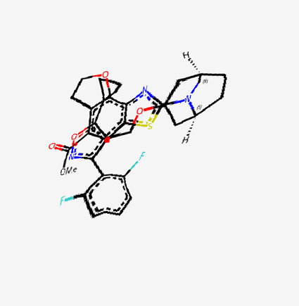 COC(=O)c1cc2sc(N3[C@@H]4CC[C@H]3CC(OCc3c(-c5c(F)cccc5F)noc3C3CC3)C4)nc2c2c1CCO2